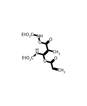 C=CC(=O)OC(NC(=O)OCC)=C(C)C(=O)ONC(=O)OCC